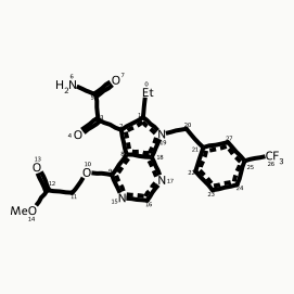 CCc1c(C(=O)C(N)=O)c2c(OCC(=O)OC)ncnc2n1Cc1cccc(C(F)(F)F)c1